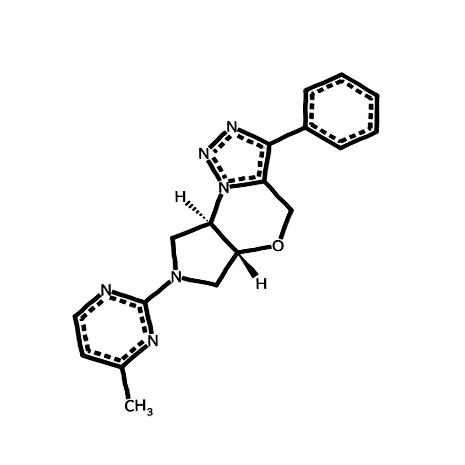 Cc1ccnc(N2C[C@@H]3[C@@H](C2)OCc2c(-c4ccccc4)nnn23)n1